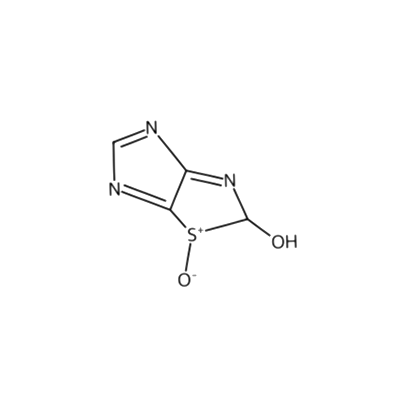 [O-][S+]1C2=NC=NC2=NC1O